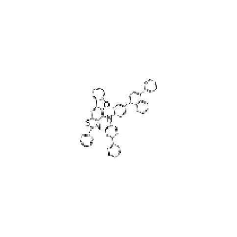 c1ccc(-c2ccc(N(c3ccc(-c4ccc(-c5ccccc5)c5ccccc45)cc3)c3c4nc(-c5ccccc5)sc4cc4c3oc3ccccc34)cc2)cc1